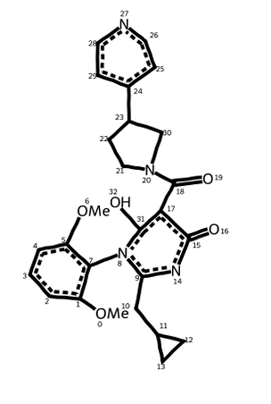 COc1cccc(OC)c1-n1c(CC2CC2)nc(=O)c(C(=O)N2CCC(c3ccncc3)C2)c1O